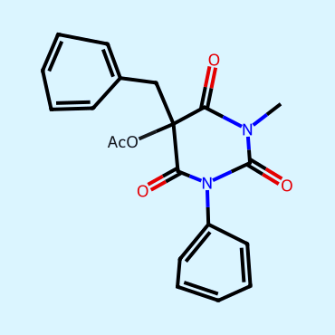 CC(=O)OC1(Cc2ccccc2)C(=O)N(C)C(=O)N(c2ccccc2)C1=O